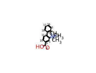 C[N+](C)(C)c1cc(C(=O)O)ccc1-c1ccccc1